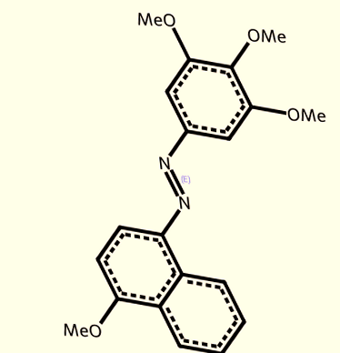 COc1cc(/N=N/c2ccc(OC)c3ccccc23)cc(OC)c1OC